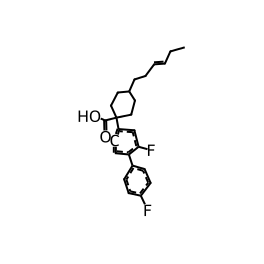 CCC=CCCC1CCC(C(=O)O)(c2ccc(-c3ccc(F)cc3)c(F)c2)CC1